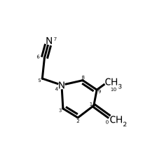 C=C1C=CN(CC#N)C=C1C